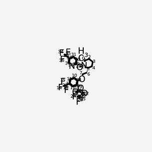 C[C@@H]1CCC[C@H](CCOc2ccc(C(F)(F)F)cc2OS(=O)(=O)C(F)(F)F)N1Oc1ccc(C(F)(F)F)cn1